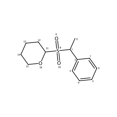 CC(c1ccccc1)S(=O)(=O)C1CCCCO1